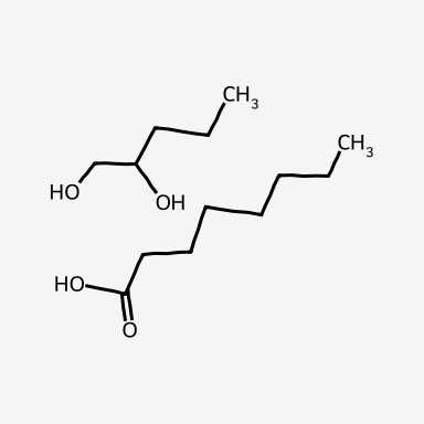 CCCC(O)CO.CCCCCCCC(=O)O